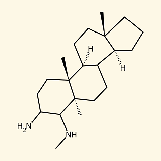 CNC1C(N)CC[C@]2(C)[C@H]3CC[C@]4(C)CCC[C@H]4C3CC[C@@]12C